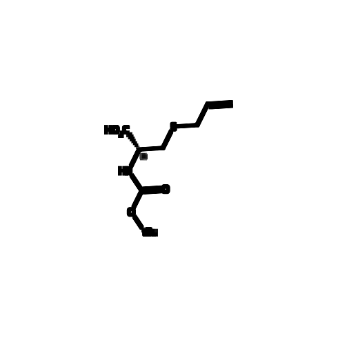 C=CCSC[C@H](NC(=O)OC(C)(C)C)C(=O)O